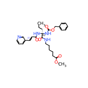 CCC[C@](NC(=O)/C=C/c1cccnc1)(NC(=O)OCc1ccccc1)C(=O)NCCCCCC(=O)OC